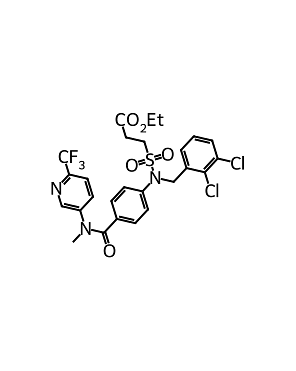 CCOC(=O)CCS(=O)(=O)N(Cc1cccc(Cl)c1Cl)c1ccc(C(=O)N(C)c2ccc(C(F)(F)F)nc2)cc1